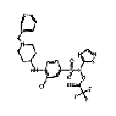 O=C(ON(c1ncns1)S(=O)(=O)c1ccc(NC2CCN(Cc3ccccc3)CC2)c(Cl)c1)C(F)(F)F